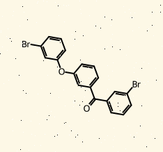 O=C(c1cccc(Br)c1)c1cccc(Oc2cccc(Br)c2)c1